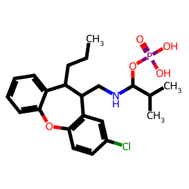 CCCC1c2ccccc2Oc2ccc(Cl)cc2C1CNC(OP(=O)(O)O)C(C)C